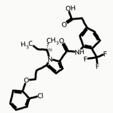 CC[C@H](C)n1c(CCOc2ccccc2Cl)ccc1C(=O)Nc1cc(CC(=O)O)ccc1C(F)(F)F